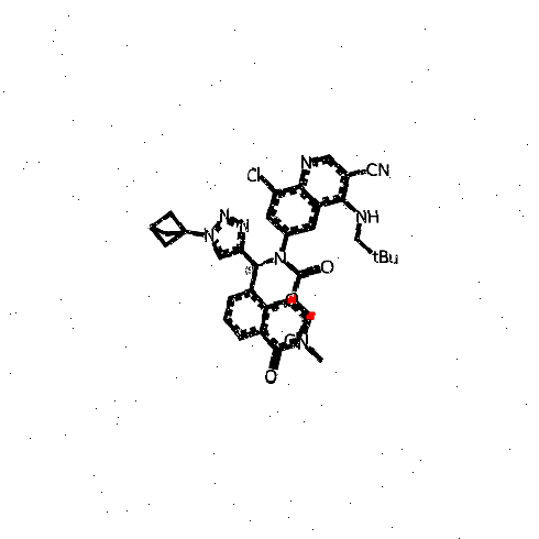 Cn1ccc2c([C@@H](c3cn(C45CC(C4)C5)nn3)N(C(=O)OCCl)c3cc(Cl)c4ncc(C#N)c(NCC(C)(C)C)c4c3)cccc2c1=O